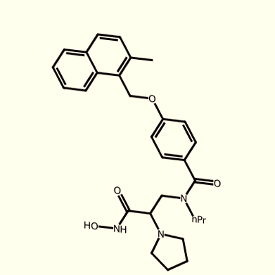 CCCN(CC(C(=O)NO)N1CCCC1)C(=O)c1ccc(OCc2c(C)ccc3ccccc23)cc1